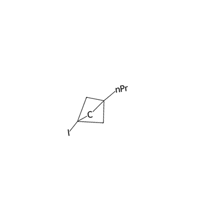 CCCC12CC(I)(C1)C2